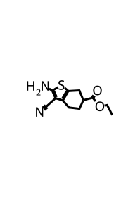 CCOC(=O)C1CCc2c(sc(N)c2C#N)C1